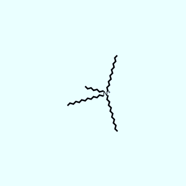 CCCCCCCCCCCCC[N+](CCCCCCC)(CCCCCCCCCCCCC)CCCCCCCCCCCCC